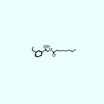 CCCCCCCC(=O)OC[C@H](O)c1cccc(CC)c1